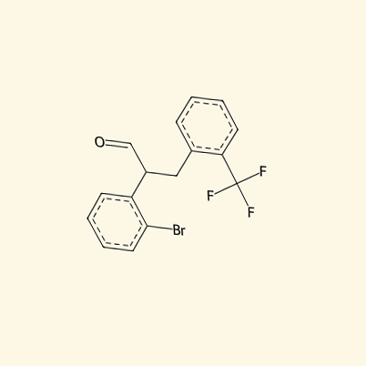 O=CC(Cc1ccccc1C(F)(F)F)c1ccccc1Br